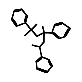 CC(CC(C)(CC(C)(C)c1ccccc1)c1ccccc1)c1ccccc1